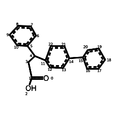 O=C(O)CC(c1ccccc1)c1ccc(-c2ccccc2)cc1